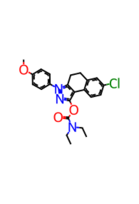 CCN(CC)C(=O)Oc1nn(-c2ccc(OC)cc2)c2c1-c1ccc(Cl)cc1CC2